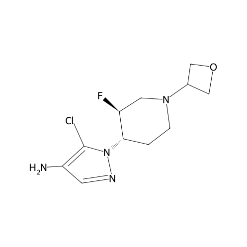 Nc1cnn([C@H]2CCN(C3COC3)C[C@@H]2F)c1Cl